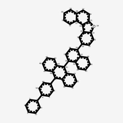 c1ccc(-c2ccc(-c3c4ccccc4c(-c4ccc(-c5ccc6oc7ccc8ccccc8c7c6c5)c5ccccc45)c4ccccc34)cc2)cc1